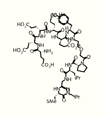 CSC[C@H](NC(=O)CNC(=O)[C@H](CC(C)C)NC(=O)[C@@H]1CCCN1C(=O)COCCNC(=O)[C@H](Cc1ccc(C(C)=O)cc1)NC(=O)[C@@H](CCC(=O)O)NC(=O)[C@@H](CCC(=O)O)NC(=O)[C@@H](CCC(=O)O)NC(=O)[C@@H](CCC(=O)O)NC(=O)[C@H](N)CCC(=O)O)C(=O)NC(C)C